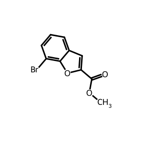 COC(=O)c1cc2cccc(Br)c2o1